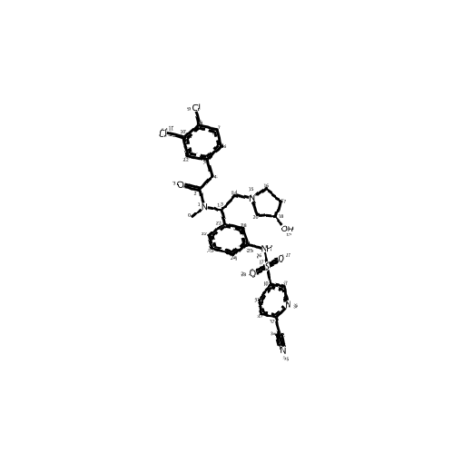 CN(C(=O)Cc1ccc(Cl)c(Cl)c1)C(CN1CC[C@@H](O)C1)c1cccc(NS(=O)(=O)c2ccc(C#N)nc2)c1